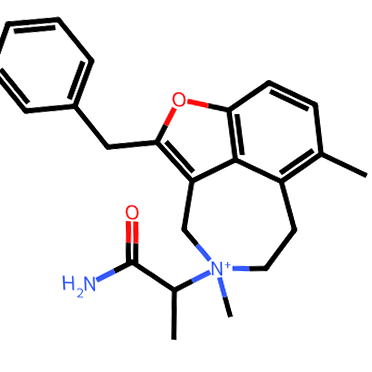 Cc1ccc2oc(Cc3ccccc3)c3c2c1CC[N+](C)(C(C)C(N)=O)C3